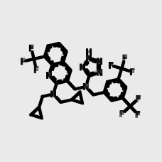 FC(F)(F)c1cc(CN(Cc2cc3cccc(C(F)(F)F)c3nc2N(CC2CC2)CC2CC2)c2nn[nH]n2)cc(C(F)(F)F)c1